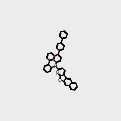 c1ccc(-c2ccc(-c3ccc(N(c4ccc5c(n4)oc4cc6ccccc6cc45)c4ccccc4-c4ccccc4)cc3)cc2)cc1